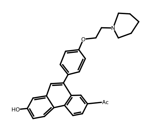 CC(=O)c1ccc2c(c1)c(-c1ccc(OCCN3CCCCC3)cc1)cc1cc(O)ccc12